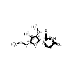 COC[C@H]1O[C@@H](n2ccc(=O)[nH]c2=O)[C@H](OC)[C@@H]1O